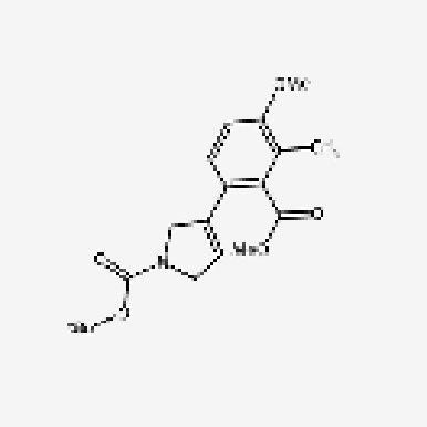 COC(=O)c1c(C2=CCN(C(=O)OC(C)(C)C)C2)ccc(OC)c1C